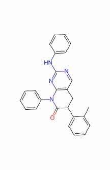 Cc1ccccc1C1Cc2cnc(Nc3ccccc3)nc2N(c2ccccc2)C1=O